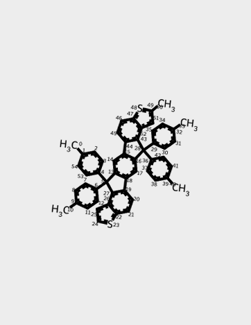 Cc1ccc(C2(c3ccc(C)cc3)c3cc4c(cc3-c3ccc5sccc5c32)C(c2ccc(C)cc2)(c2ccc(C)cc2)c2c-4ccc3sc(C)cc23)cc1